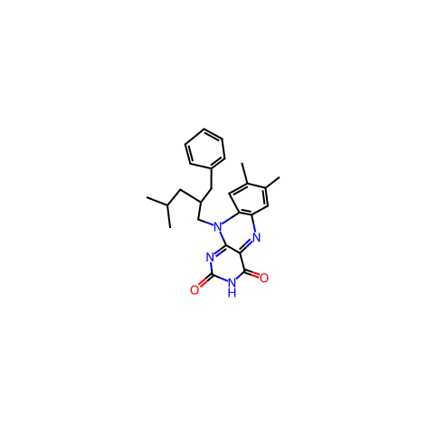 Cc1cc2nc3c(=O)[nH]c(=O)nc-3n(CC(Cc3ccccc3)CC(C)C)c2cc1C